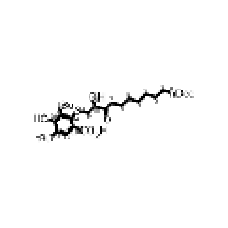 CCCCCCCCCCCCCCCCCC(=O)C(O)CSc1c(C(=O)O)cc(C(C)(C)C)c(O)c1C(C)(C)C